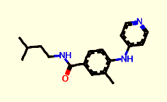 Cc1cc(C(=O)NCCC(C)C)ccc1Nc1ccncc1